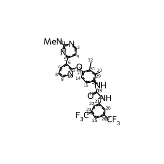 CNc1nccc(-c2cccnc2Oc2ccc(NC(=O)Nc3cc(C(F)(F)F)cc(C(F)(F)F)c3)c(C)c2C)n1